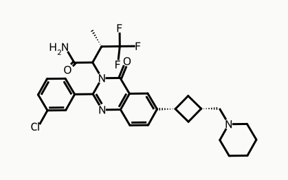 C[C@@H](C(C(N)=O)n1c(-c2cccc(Cl)c2)nc2ccc([C@H]3C[C@@H](CN4CCCCC4)C3)cc2c1=O)C(F)(F)F